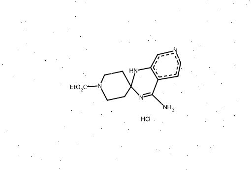 CCOC(=O)N1CCC2(CC1)N=C(N)c1ccncc1N2.Cl